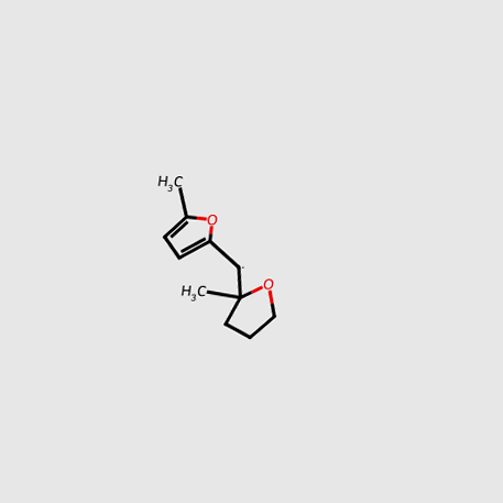 Cc1ccc([CH]C2(C)CCCO2)o1